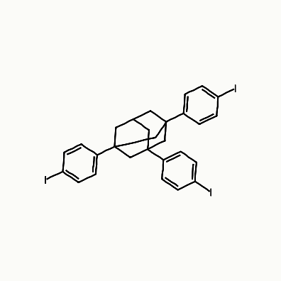 Ic1ccc(C23CC4CC(c5ccc(I)cc5)(C2)CC(c2ccc(I)cc2)(C4)C3)cc1